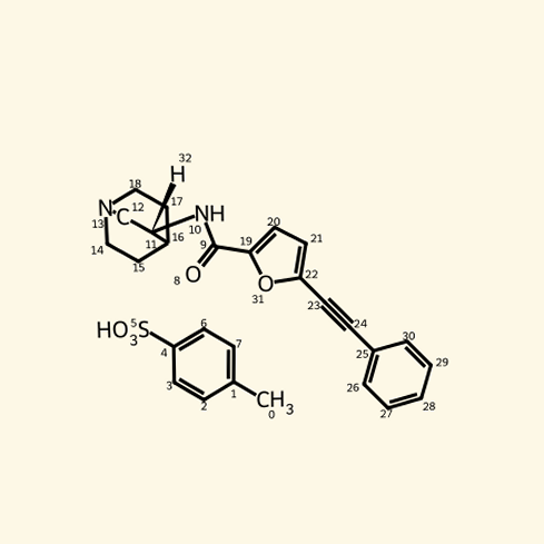 Cc1ccc(S(=O)(=O)O)cc1.O=C(N[C@H]1CN2CCC1CC2)c1ccc(C#Cc2ccccc2)o1